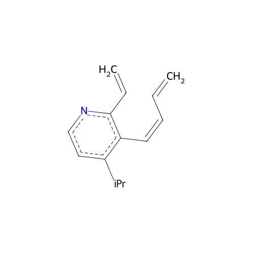 C=C/C=C\c1c(C(C)C)ccnc1C=C